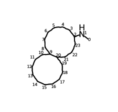 CNC1CCCCCCC2CCCCCCCCCCC2CCC1